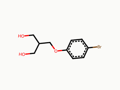 OCC(CO)COc1ccc(Br)cc1